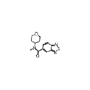 CN(C(=O)c1ccc2nsnc2c1)C1CCOCC1